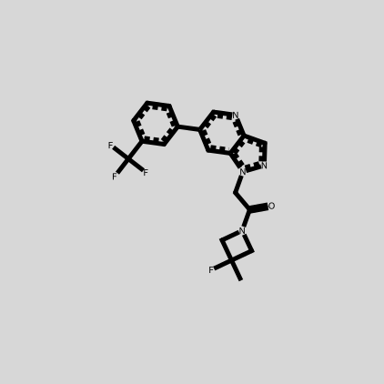 CC1(F)CN(C(=O)Cn2ncc3ncc(-c4cccc(C(F)(F)F)c4)cc32)C1